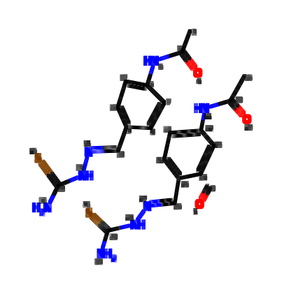 C=O.CC(=O)Nc1ccc(C=NNC(N)=S)cc1.CC(=O)Nc1ccc(C=NNC(N)=S)cc1